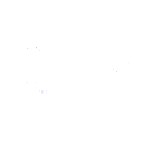 O=C1CCN(c2cc(C(=O)N3CCC(COCCC4CCN(C(=O)C5CCCCC5)CC4)CC3)ccc2F)C(=O)N1